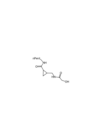 CCCCCNC(=O)C1CC1CNC(=O)CO